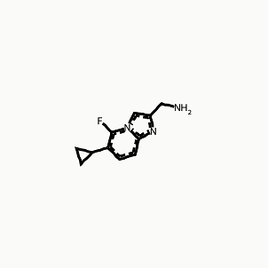 NCc1cn2c(F)c(C3CC3)ccc2n1